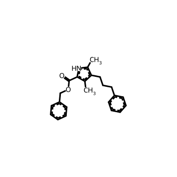 Cc1[nH]c(C(=O)OCc2ccccc2)c(C)c1CCCc1ccccc1